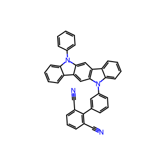 N#Cc1cccc(C#N)c1-c1cccc(-n2c3ccccc3c3cc4c(cc32)c2ccccc2n4-c2ccccc2)c1